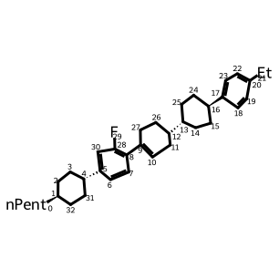 CCCCC[C@H]1CC[C@H](c2ccc(C3=CCC([C@H]4CC[C@H](c5ccc(CC)cc5)CC4)CC3)c(F)c2)CC1